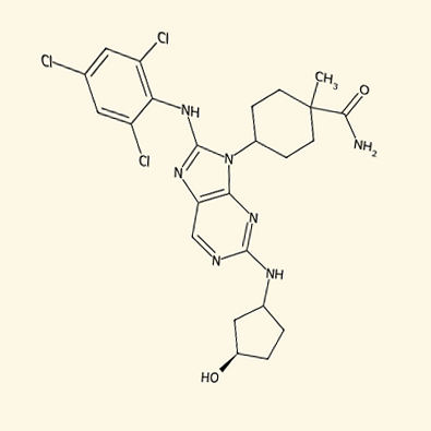 CC1(C(N)=O)CCC(n2c(Nc3c(Cl)cc(Cl)cc3Cl)nc3cnc(NC4CC[C@@H](O)C4)nc32)CC1